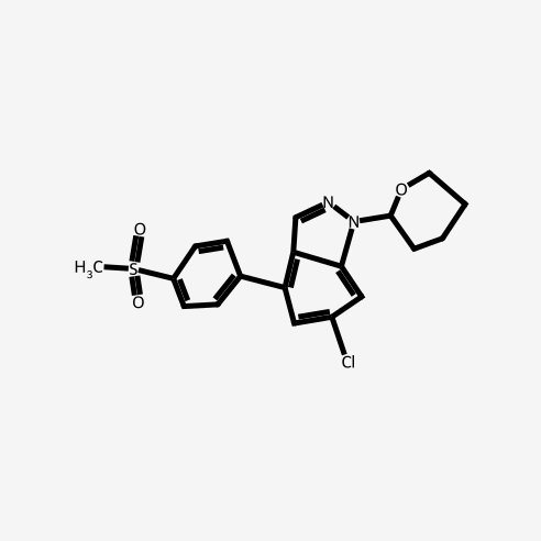 CS(=O)(=O)c1ccc(-c2cc(Cl)cc3c2cnn3C2CCCCO2)cc1